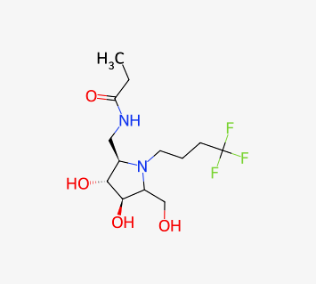 CCC(=O)NC[C@@H]1[C@@H](O)[C@H](O)C(CO)N1CCCC(F)(F)F